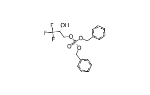 O=P(OCc1ccccc1)(OCc1ccccc1)OC[C@@H](O)C(F)(F)F